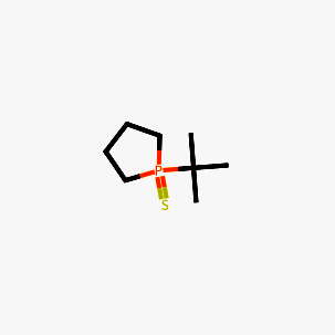 CC(C)(C)P1(=S)CCCC1